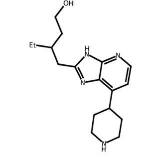 CCC(CCO)Cc1nc2c(C3CCNCC3)ccnc2[nH]1